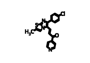 Cc1cn2c(/C=C/C(=O)c3ccncc3)c(-c3ccc(Cl)cc3)nc2s1